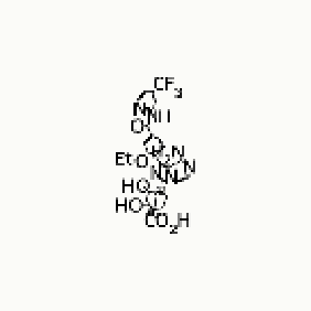 CCOc1cc(C(=O)Nc2cc(C(F)(F)F)ccn2)ccc1-c1nc([C@@]23CC[C@@](C(=O)O)(CC2O)C(O)C3)n2ccnc(N)c12